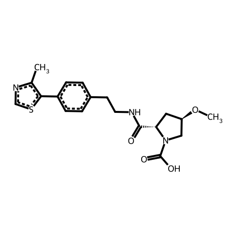 CO[C@@H]1C[C@@H](C(=O)NCCc2ccc(-c3scnc3C)cc2)N(C(=O)O)C1